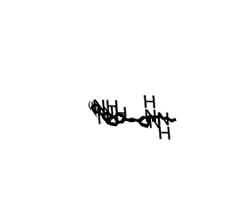 CCCNCc1nc2ccc(C#Cc3ccc4c(ccc5nc([C@@H]6CC[C@H](C)N6)[nH]c54)c3)cc2[nH]1